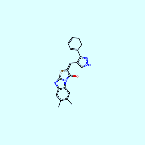 Cc1cc2nc3s/c(=C/c4c[nH]nc4C4=CC=CCC4)c(=O)n3c2cc1C